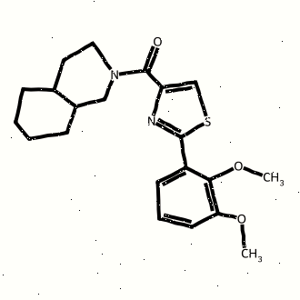 COc1cccc(-c2nc(C(=O)N3CCC4CCCCC4C3)cs2)c1OC